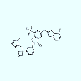 Cn1cnnc1CC1(c2cccc(N3Cc4c(cc(CN5Cc6cccc(F)c6C5)cc4C(F)(F)F)C3=O)c2)COC1